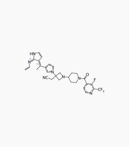 C=C/N=C1/NC=C/C1=C(/C)c1ccn(C2(CC#N)CN(C3CCN(C(=O)c4ccnc(C(F)(F)F)c4F)CC3)C2)c1